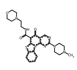 CN1CCN(c2ncc3c(=O)c(C(=O)NCCN4CCOCC4)c4sc5ccccc5n4c3n2)CC1